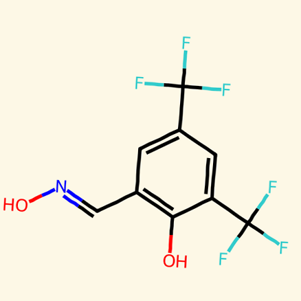 ON=Cc1cc(C(F)(F)F)cc(C(F)(F)F)c1O